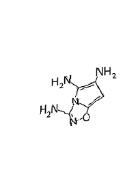 Nc1cc2onc(N)n2c1N